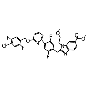 COCCn1c(Cc2cc(F)c(-c3cccc(OCc4cc(F)c(Cl)cc4F)n3)cc2F)nc2ccc(C(=O)OC)cc21